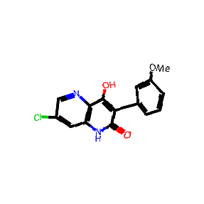 COc1cccc(-c2c(O)c3ncc(Cl)cc3[nH]c2=O)c1